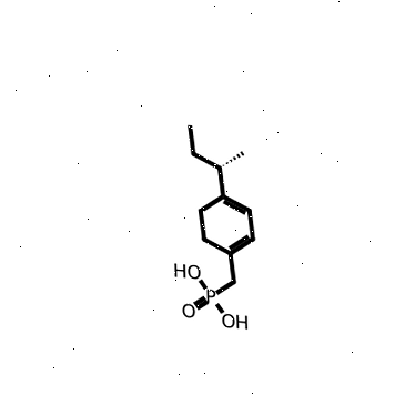 CC[C@H](C)C1=CC=C(CP(=O)(O)O)CC1